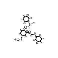 C[C@H](COc1ccc(CO)cc1OCCc1ccccc1)c1ccccc1